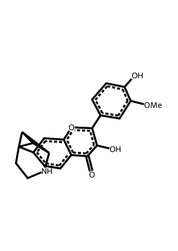 COc1cc(-c2oc3cc(C45CCNC6C4C65)ccc3c(=O)c2O)ccc1O